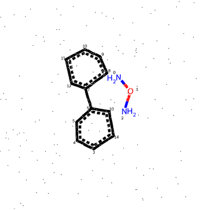 NON.c1ccc(-c2ccccc2)cc1